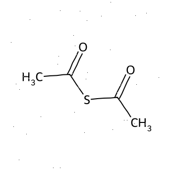 CC(=O)SC(C)=O